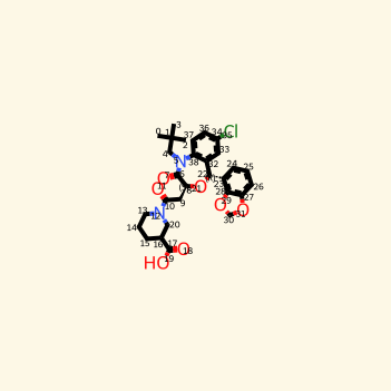 CC(C)(C)CN1C(=O)[C@H](CC(=O)N2CCCC(C(=O)O)C2)O[C@@H](c2cccc3c2OCO3)c2cc(Cl)ccc21